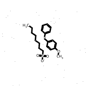 CCCCCCCCS(=O)(=O)[O-].COc1ccc([I+]c2ccccc2)cc1